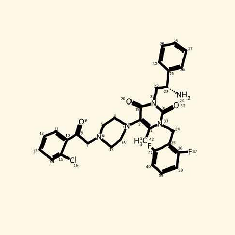 Cc1c(N2CCN(CC(=O)c3ccccc3Cl)CC2)c(=O)n(C[C@@H](N)c2ccccc2)c(=O)n1Cc1c(F)cccc1F